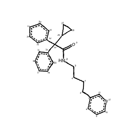 O=C(NCCCCc1cccnc1)C(c1ccccc1)(c1ccccc1)C1CC1